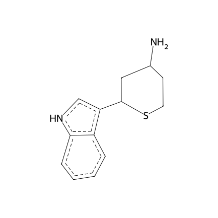 NC1CCSC(c2c[nH]c3ccccc23)C1